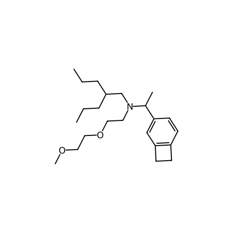 CCCC(CCC)CN(CCOCCOC)C(C)c1ccc2c(c1)CC2